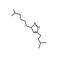 CC(C)CCCCC1C=C(CCC(C)C)N=N1